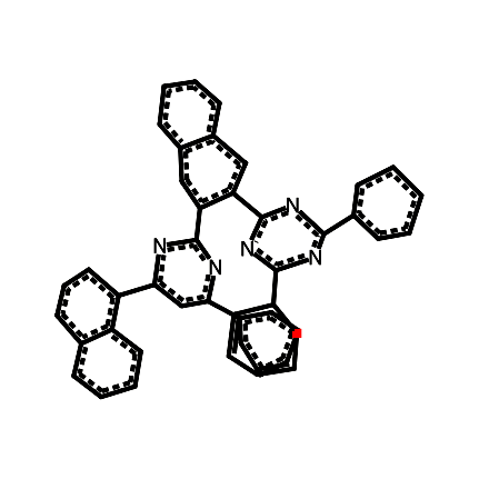 C1=CCC(c2nc(-c3ccccc3)nc(-c3cc4ccccc4cc3-c3nc(-c4ccccc4)cc(-c4cccc5ccccc45)n3)n2)C=C1